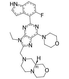 CCn1c(CN2CCN3CCOC[C@H]3C2)nc2c(N3CCOCC3)nc(-c3c(F)ccc4[nH]ccc34)nc21